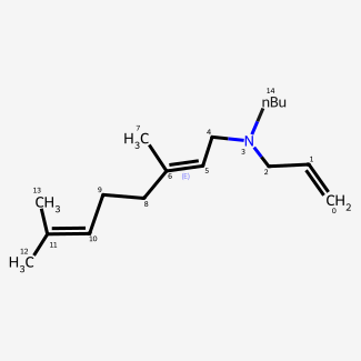 C=CCN(C/C=C(\C)CCC=C(C)C)CCCC